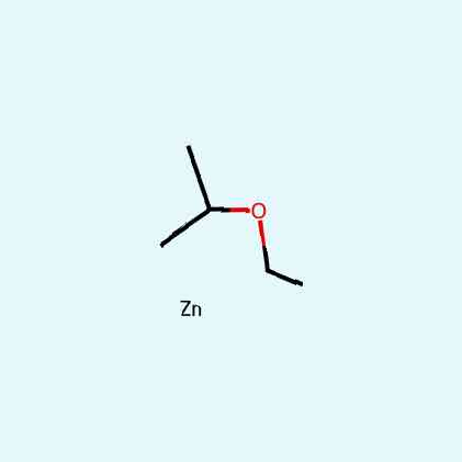 CCOC(C)C.[Zn]